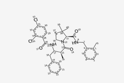 Cc1ccccc1CNC(=O)[C@H]1N(C(=O)[C@@H](C)C(Cc2ccccc2)NC(=O)c2ccc(Cl)cc2Cl)CSC1(C)C